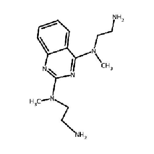 CN(CCN)c1nc(N(C)CCN)c2ccccc2n1